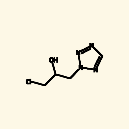 OC(CCl)Cn1ncnn1